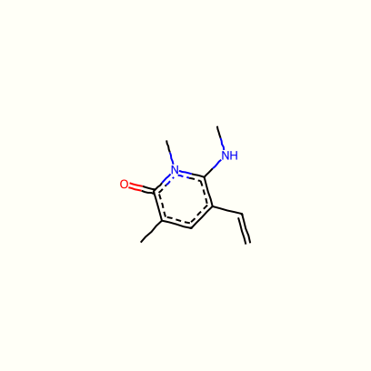 C=Cc1cc(C)c(=O)n(C)c1NC